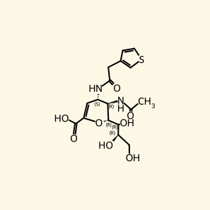 CC(=O)N[C@H]1[C@H]([C@H](O)[C@H](O)CO)OC(C(=O)O)=C[C@@H]1NC(=O)Cc1ccsc1